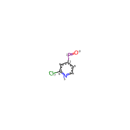 O=Pc1ccnc(Cl)c1